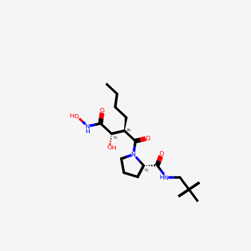 CCCC[C@@H](C(=O)N1CCC[C@H]1C(=O)NCC(C)(C)C)[C@H](O)C(=O)NO